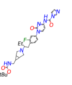 CCC(Cc1ccc(-n2ccc(NC(=O)n3ccnc3)nc2=O)cc1F)N1CC2C(CNC(=O)OC(C)(C)C)C2C1